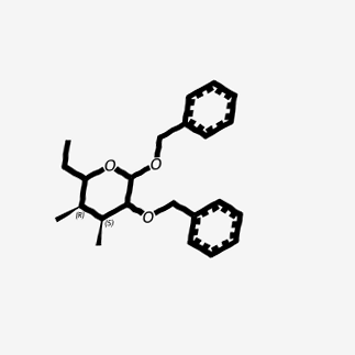 CCC1OC(OCc2ccccc2)C(OCc2ccccc2)[C@@H](C)[C@H]1C